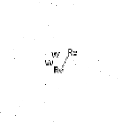 [Re][Re].[W].[W]